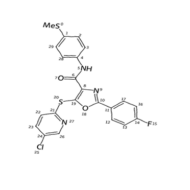 CSc1ccc(NC(=O)c2nc(-c3ccc(F)cc3)oc2Sc2ccc(Cl)cn2)cc1